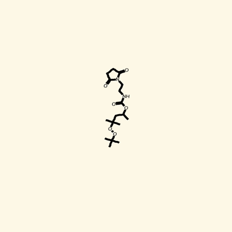 CC(CC(C)(C)OOC(C)(C)C)OC(=O)NCCN1C(=O)CCC1=O